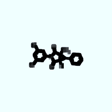 C[C@]12C(=O)N(c3cc(Cl)cc(Cl)c3)C(=O)[C@H]1[C@@H]2c1ccccc1